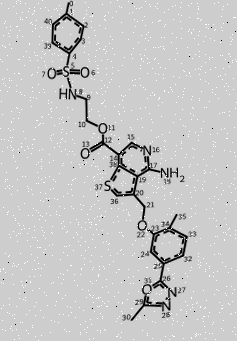 Cc1ccc(S(=O)(=O)NCCOC(=O)c2cnc(N)c3c(COc4cc(-c5nnc(C)o5)ccc4C)csc23)cc1